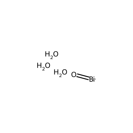 O.O.O.[O]=[Bi]